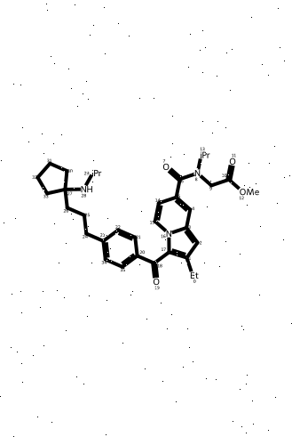 CCc1cc2cc(C(=O)N(CC(=O)OC)C(C)C)ccn2c1C(=O)c1ccc(CCCC2(NC(C)C)CCCC2)cc1